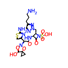 NCCCc1cnn(CC2C(NC(=O)/C(=N\OC3(C(=O)O)CC3)c3csc(N)n3)C(=O)N2S(=O)(=O)O)n1